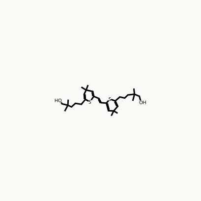 CC1(C)C=C(C=CC2=CC(C)(C)C=C(CCCC(C)(C)CO)S2)SC(CCCC(C)(C)CO)=C1